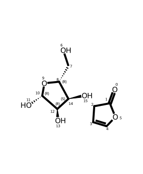 O=C1CC=CO1.OC[C@H]1O[C@@H](O)[C@H](O)[C@@H]1O